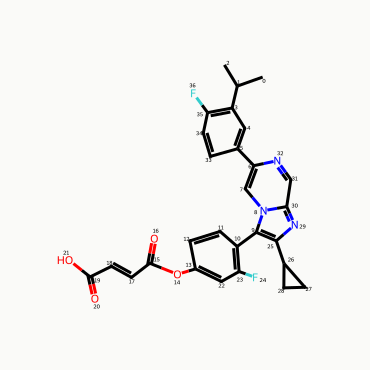 CC(C)c1cc(-c2cn3c(-c4ccc(OC(=O)/C=C/C(=O)O)cc4F)c(C4CC4)nc3cn2)ccc1F